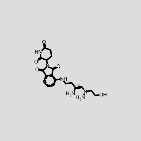 N/C(=C\N(N)CCO)CCNc1cccc2c1C(=O)N(C1CCC(=O)NC1=O)C2=O